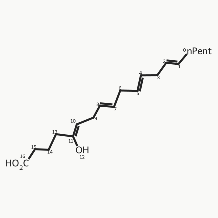 CCCCCC=CCC=CCC=CCC=C(O)CCCC(=O)O